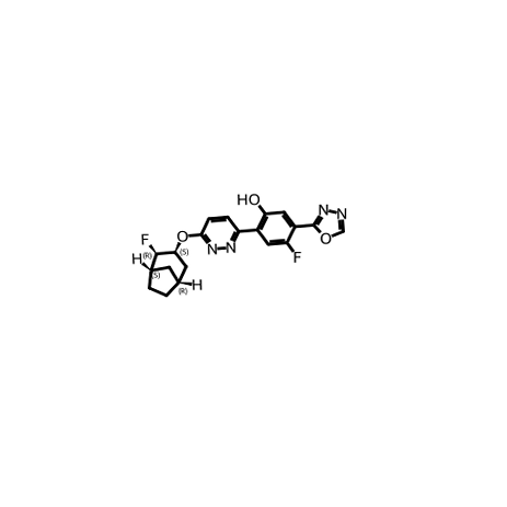 Oc1cc(-c2nnco2)c(F)cc1-c1ccc(O[C@H]2C[C@@H]3CC[C@@H](C3)[C@H]2F)nn1